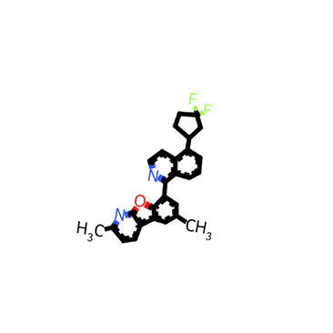 Cc1cc(-c2nccc3c(C4CCC(F)(F)C4)cccc23)c2oc3nc(C)ccc3c2c1